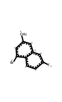 CC(=O)Oc1cc(Br)c2ccc(F)cc2c1